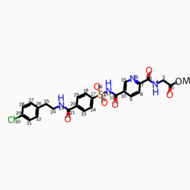 COC(=O)CNC(=O)c1ccc(C(=O)NS(=O)(=O)c2ccc(C(=O)NCCc3ccc(Cl)cc3)cc2)cn1